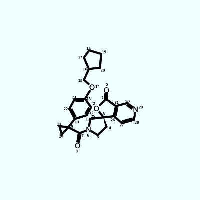 O=C1O[C@]2(CCN(C(=O)C3(c4ccc(OCC5CCCC5)cc4)CC3)C2)c2ccncc21